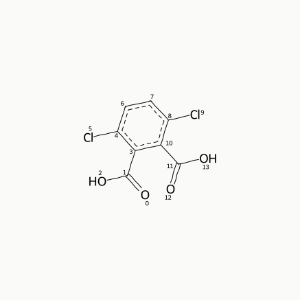 O=C(O)c1c(Cl)ccc(Cl)c1C(=O)O